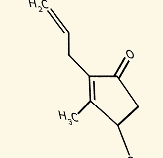 C=CCC1=C(C)C([O])CC1=O